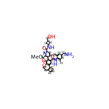 COC(=O)c1nc(C(=O)NC2CC(CO)C2)ccc1-c1cc2c(cc1C(=O)Nc1c(C)cc(CN)cc1C)-c1sccc1CCO2